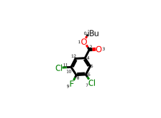 CCC(C)OC(=O)c1cc(Cl)c(F)c(Cl)c1